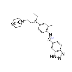 CCN(CC[N+]12CCN(CC1)CC2)c1ccc(/N=N/c2ccc3nn[nH]c3c2)c(C)c1